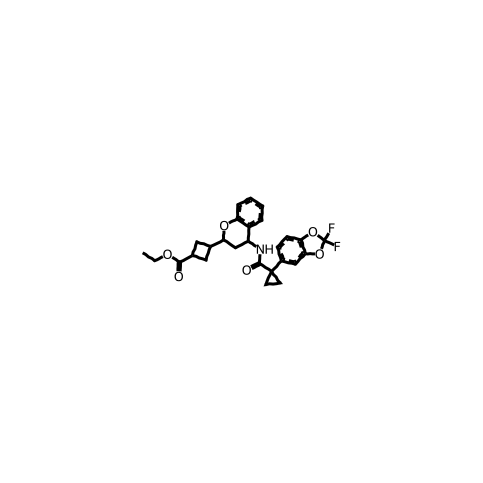 CCOC(=O)C1CC(C2CC(NC(=O)C3(c4ccc5c(c4)OC(F)(F)O5)CC3)c3ccccc3O2)C1